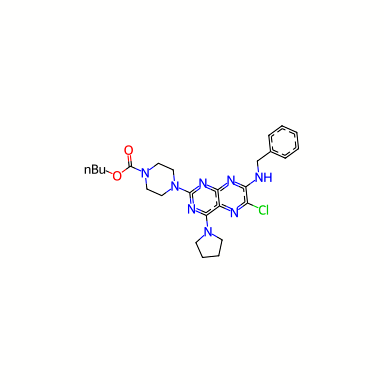 CCCCOC(=O)N1CCN(c2nc(N3CCCC3)c3nc(Cl)c(NCc4ccccc4)nc3n2)CC1